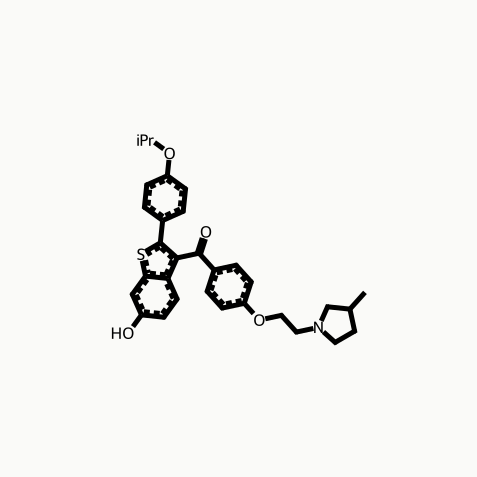 CC1CCN(CCOc2ccc(C(=O)c3c(-c4ccc(OC(C)C)cc4)sc4cc(O)ccc34)cc2)C1